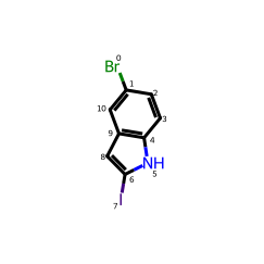 Brc1ccc2[nH]c(I)cc2c1